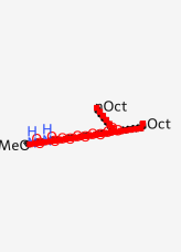 CCCCCCCC/C=C\CCCCCCCCOCC(COCCOCCOCCOCCOCCOCCOCCOC(=O)CNCCOC(=O)CNCCOC)OCCCCCCCC/C=C\CCCCCCCC